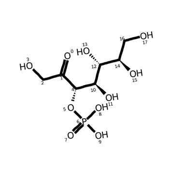 O=C(CO)[C@@H](OP(=O)(O)O)[C@H](O)[C@H](O)[C@H](O)CO